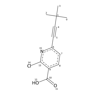 CC(C)(C)C#Cc1ccc(C(=O)O)c(Cl)n1